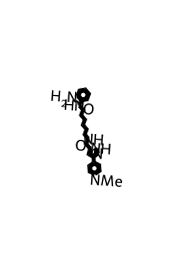 CNc1ccc(-c2cc(C(=O)NCCCCCC(=O)Nc3ccccc3N)[nH]n2)cc1